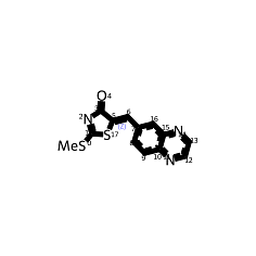 CSC1=NC(=O)/C(=C/c2ccc3nccnc3c2)S1